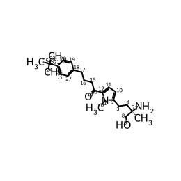 Cn1c(CC[C@@](C)(N)CO)ccc1C(=O)CCCc1ccc(C(C)(C)C)cc1